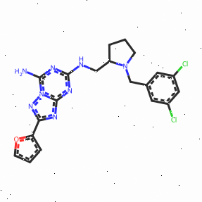 Nc1nc(NCC2CCCN2Cc2cc(Cl)cc(Cl)c2)nc2nc(-c3ccco3)nn12